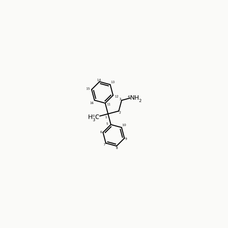 CC(CCN)(c1ccccc1)c1ccccc1